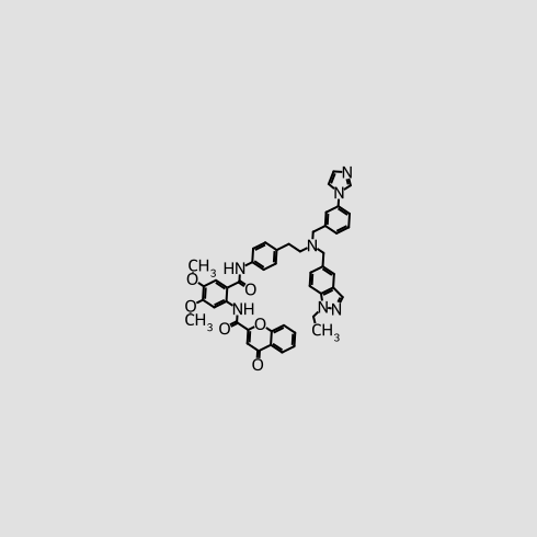 CCn1ncc2cc(CN(CCc3ccc(NC(=O)c4cc(OC)c(OC)cc4NC(=O)c4cc(=O)c5ccccc5o4)cc3)Cc3cccc(-n4ccnc4)c3)ccc21